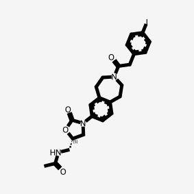 CC(=O)NC[C@H]1CN(c2ccc3c(c2)CCN(C(=O)Cc2ccc(I)cc2)CC3)C(=O)O1